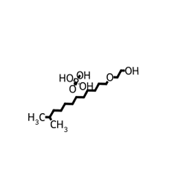 CC(C)CCCCCCCCCCOCCO.O=P(O)(O)O